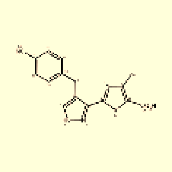 Cc1nc(-c2n[nH]cc2Cc2ccc(C#N)cc2)sc1C(=O)O